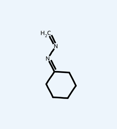 C=NN=C1CCCCC1